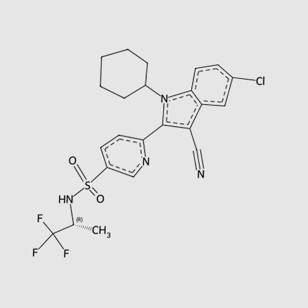 C[C@@H](NS(=O)(=O)c1ccc(-c2c(C#N)c3cc(Cl)ccc3n2C2CCCCC2)nc1)C(F)(F)F